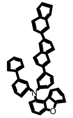 c1ccc(-c2cccc(N(c3cccc(-c4ccc5cc(-c6ccc7ccccc7c6)ccc5c4)c3)c3cccc4oc5ccccc5c34)c2)cc1